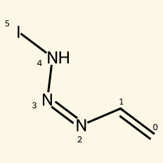 C=C/N=N\NI